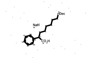 CCCCCCCCCCCCCCCCC(C(=O)O)c1ccccc1.[NaH]